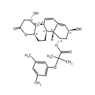 Cc1cc(C)cc(OC(C)(C)C(=O)O[C@H]2C[C@H](O)C=C3C=C[C@H](C)[C@H](CC[C@@H]4C[C@@H](O)CC(=O)O4)[C@H]32)c1